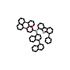 c1ccc(-c2cccc3c2sc2c(N(c4ccc(-c5cccc6cccc(-c7ccccc7)c56)cc4)c4ccc(-c5cccc6ccccc56)c5ccccc45)cccc23)cc1